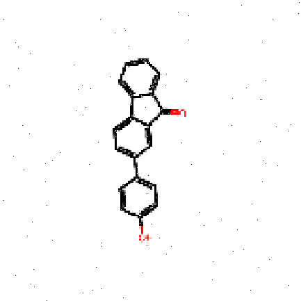 O=C1c2ccccc2-c2ccc(-c3ccc(O)cc3)cc21